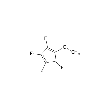 COC1=C(F)C(F)=C(F)C1F